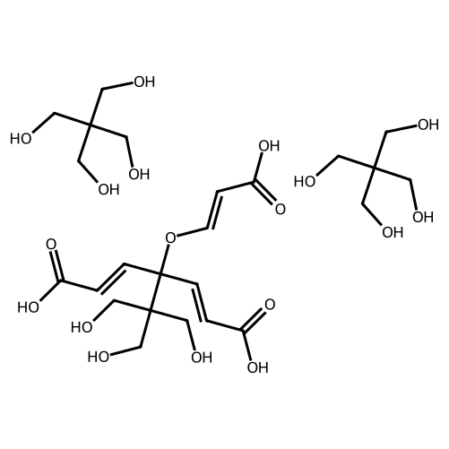 O=C(O)C=COC(C=CC(=O)O)(C=CC(=O)O)C(CO)(CO)CO.OCC(CO)(CO)CO.OCC(CO)(CO)CO